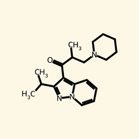 CC(CN1CCCCC1)C(=O)c1c(C(C)C)nn2ccccc12